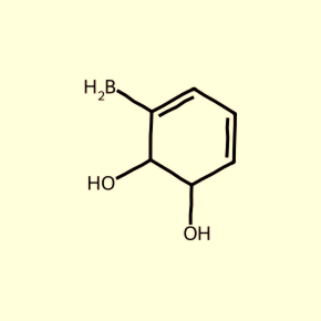 BC1=CC=CC(O)C1O